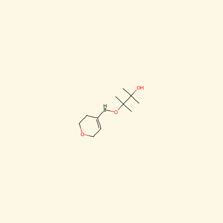 CC(C)(O)C(C)(C)OBC1=CCOCC1